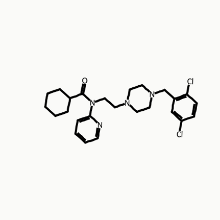 O=C(C1CCCCC1)N(CCN1CCN(Cc2cc(Cl)ccc2Cl)CC1)c1ccccn1